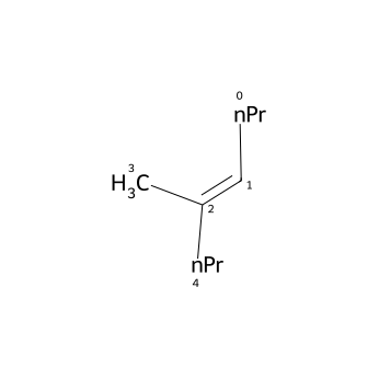 CCCC=C(C)CCC